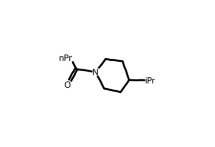 CCCC(=O)N1CCC(C(C)C)CC1